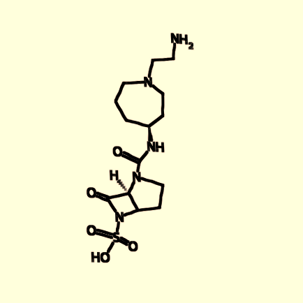 NCCN1CCC[C@H](NC(=O)N2CCC3[C@H]2C(=O)N3S(=O)(=O)O)CC1